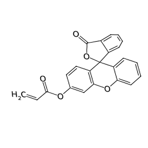 C=CC(=O)Oc1ccc2c(c1)Oc1ccccc1C21OC(=O)c2ccccc21